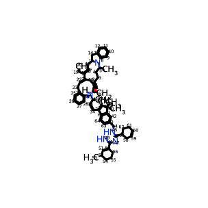 C=CCCCC(C)N1c2ccccc2CC1C/C=C(C=C)/C1=C/Cc2ccccc2N(C(=C)/C=C\C2=C(C)C(C)(C)c3cc(CN/C(=N\C(=N)C4=C[C@H](C)CCC4)C4CC=CCC4)ccc32)C(=C)CC1